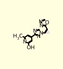 Cc1cc(-c2ncn(/C=C\c3nnco3)n2)cc(O)n1